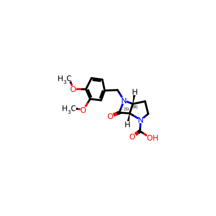 COc1ccc(CN2C(=O)[C@@H]3[C@H]2CCN3C(=O)O)cc1OC